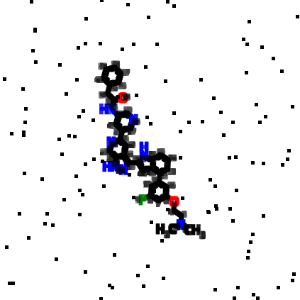 CN(C)CCOc1cc(F)cc(-c2cccc3[nH]c(-c4n[nH]c5cnc(-c6cncc(NC(=O)Cc7ccccc7)c6)cc45)cc23)c1